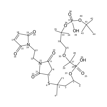 CC(CC(C)(C)SC1CC(=O)N(CCN2C(=O)C=CC2=O)C1=O)OP(=O)(O)C(C)(C)OCCC(C)(C)OP(=O)(O)OC(C)(C)C